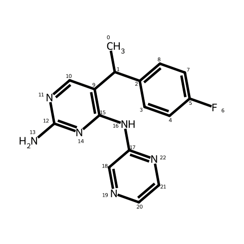 CC(c1ccc(F)cc1)c1cnc(N)nc1Nc1cnccn1